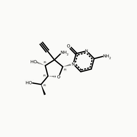 C#CC1(N)[C@@H](O)[C@@H]([C@@H](C)O)O[C@H]1n1ccc(N)nc1=O